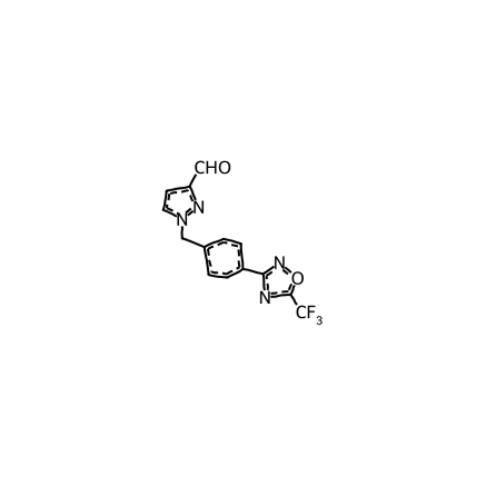 O=Cc1ccn(Cc2ccc(-c3noc(C(F)(F)F)n3)cc2)n1